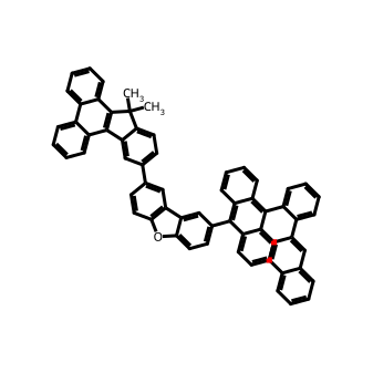 CC1(C)c2ccc(-c3ccc4oc5ccc(-c6c7ccccc7c(-c7ccccc7-c7ccc8ccccc8c7)c7ccccc67)cc5c4c3)cc2-c2c1c1ccccc1c1ccccc21